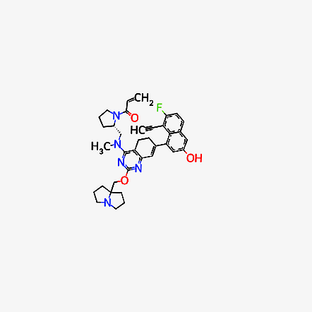 C#Cc1c(F)ccc2cc(O)cc(C3=Cc4nc(OCC56CCCN5CCC6)nc(N(C)C[C@@H]5CCCN5C(=O)C=C)c4CC3)c12